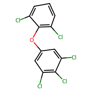 Clc1cc(Oc2c(Cl)cccc2Cl)cc(Cl)c1Cl